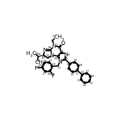 CCN1C(=O)c2nc(-c3ccc(-c4ccccc4)cc3)n(Cc3ccc(F)cc3F)c2N2C[C@@H](C(C)C)N=C12